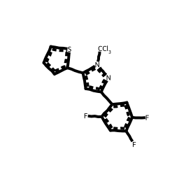 Fc1cc(F)c(-c2cc(-c3cccs3)n(C(Cl)(Cl)Cl)n2)cc1F